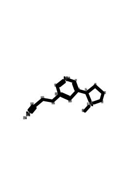 CN1CCCC1c1cncc(CCC#N)c1